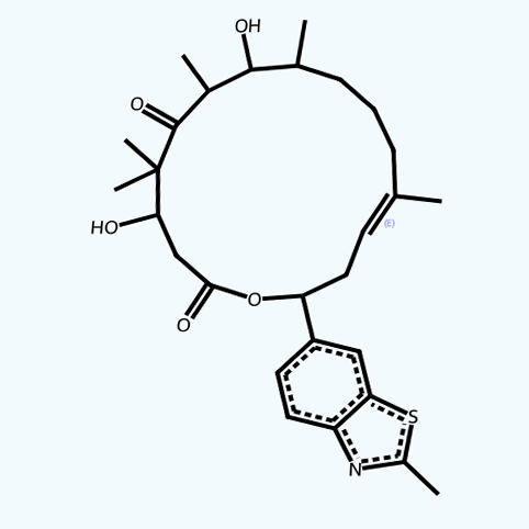 C/C1=C\CC(c2ccc3nc(C)sc3c2)OC(=O)CC(O)C(C)(C)C(=O)C(C)C(O)C(C)CCC1